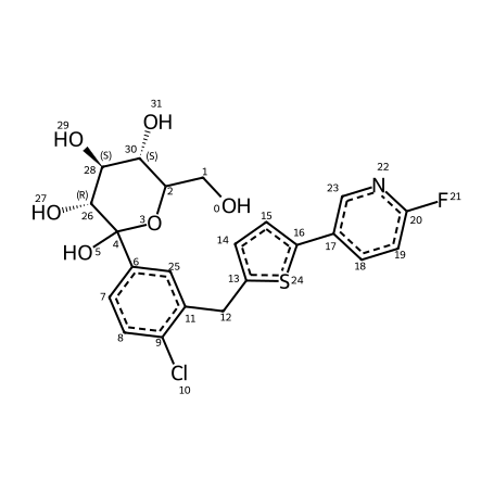 OCC1OC(O)(c2ccc(Cl)c(Cc3ccc(-c4ccc(F)nc4)s3)c2)[C@H](O)[C@@H](O)[C@@H]1O